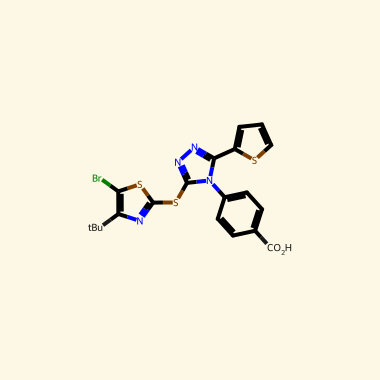 CC(C)(C)c1nc(Sc2nnc(-c3cccs3)n2-c2ccc(C(=O)O)cc2)sc1Br